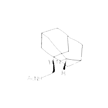 CC(=O)NC[C@]12CC3CC(C1)[C@@H](N)C(C3)C2